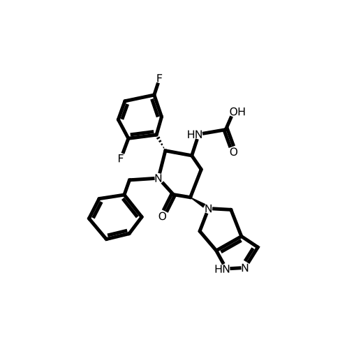 O=C(O)NC1C[C@@H](N2Cc3cn[nH]c3C2)C(=O)N(Cc2ccccc2)[C@@H]1c1cc(F)ccc1F